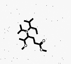 CCC(C(C)C)N(C(C)C)C(CCC(=O)OC)C(C)OC